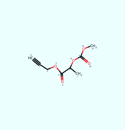 C#CCOC(=O)C(C)OC(=O)OC